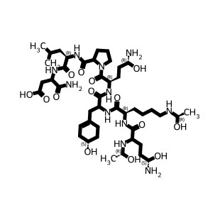 CC(C)C[C@@H](NC(=O)C1CCCN1C(=O)[C@@H](CC[C@H](N)O)NC(=O)C(CC1=CC[C@@H](O)CC1)NC(=O)[C@@H](CCCCN[C@@H](C)O)NC(=O)C(CC[C@@H](N)O)N[C@@H](C)O)C(=O)NC(CC(=O)O)C(N)=O